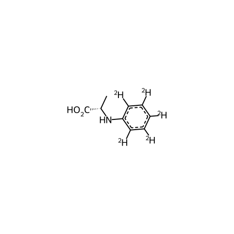 [2H]c1c([2H])c([2H])c(N[C@@H](C)C(=O)O)c([2H])c1[2H]